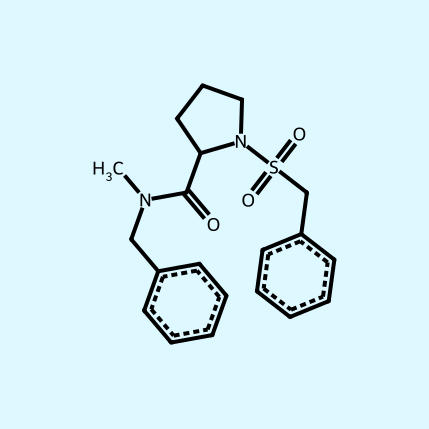 CN(Cc1ccccc1)C(=O)C1CCCN1S(=O)(=O)Cc1ccccc1